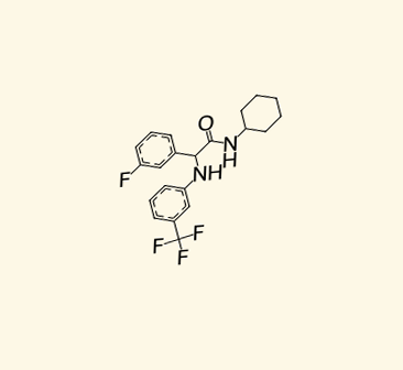 O=C(NC1CCCCC1)C(Nc1cccc(C(F)(F)F)c1)c1cccc(F)c1